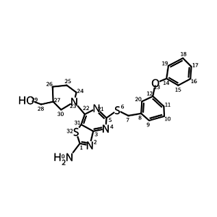 Nc1nc2nc(SCc3cccc(Oc4ccccc4)c3)nc(N3CCCC(CO)C3)c2s1